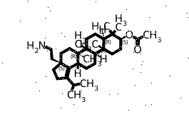 CC(=O)O[C@H]1CC[C@]2(C)[C@H]3CC[C@@H]4C5=C(C(C)C)CC[C@]5(CCN)CC[C@@]4(C)[C@]3(C)CC[C@H]2C1(C)C